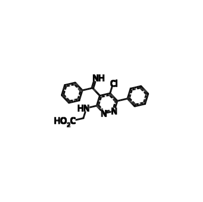 N=C(c1ccccc1)c1c(NCC(=O)O)nnc(-c2ccccc2)c1Cl